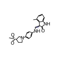 Cc1cccc2c1/C(=C/Nc1ccc(N3CCC(S(C)(=O)=O)C3)cc1)C(=O)N2